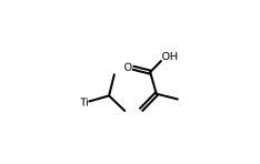 C=C(C)C(=O)O.C[CH](C)[Ti]